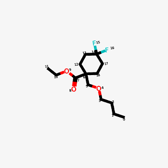 CCCCOCC1(C(=O)OCC)CCC(F)(F)CC1